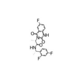 C[C@H](NC(=O)[C@H](C)n1c(=O)[nH]c2ccc(F)cc2c1=O)c1ccc(F)cc1F